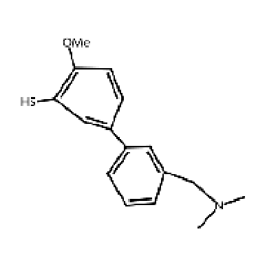 COc1ccc(-c2cccc(CN(C)C)c2)cc1S